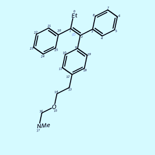 CC/C(=C(\c1ccccc1)c1ccc(CCOCNC)cc1)c1ccccc1